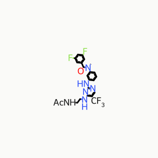 CC(=O)NCCNc1nc(Nc2cccc(N(C)C(=O)c3cc(F)cc(F)c3)c2)ncc1C(F)(F)F